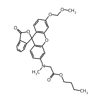 CCCCOC(=O)CN(C)c1ccc2c(c1)Oc1cc(OCOC)ccc1C21OC(=O)c2ccccc21